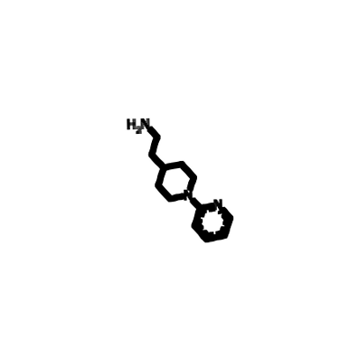 NCCC1CCN(c2ccccn2)CC1